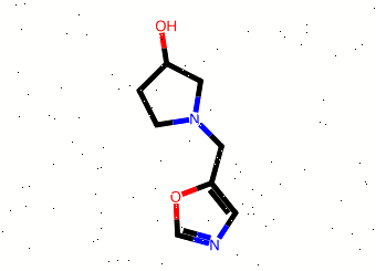 OC1CCN(Cc2cnco2)C1